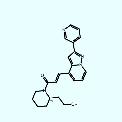 O=C(C=Cc1cccn2nc(-c3cccnc3)cc12)N1CCCC[C@@H]1CCO